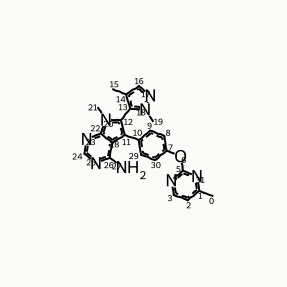 Cc1ccnc(Oc2ccc(-c3c(-c4c(C)cnn4C)n(C)c4ncnc(N)c34)cc2)n1